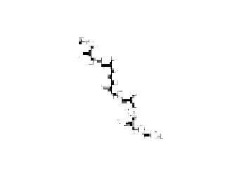 CCC(C)COCC(COCC(C)COCC(C)CCCC(C)COCC(C)CC(C)C)C(C)C